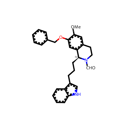 COc1cc2c(cc1OCc1ccccc1)[C@H](CCCc1c[nH]c3ccccc13)N(C=O)CC2